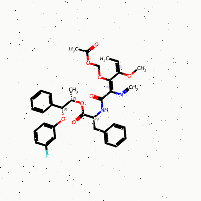 C=N/C(C(=O)N[C@@H](Cc1ccccc1)C(=O)O[C@@H](C)[C@H](Oc1cccc(F)c1)c1ccccc1)=C(OCOC(C)=O)\C(=C/C)OC